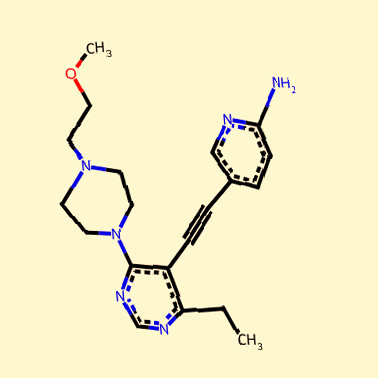 CCc1ncnc(N2CCN(CCOC)CC2)c1C#Cc1ccc(N)nc1